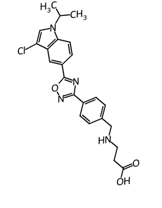 CC(C)n1cc(Cl)c2cc(-c3nc(-c4ccc(CNCCC(=O)O)cc4)no3)ccc21